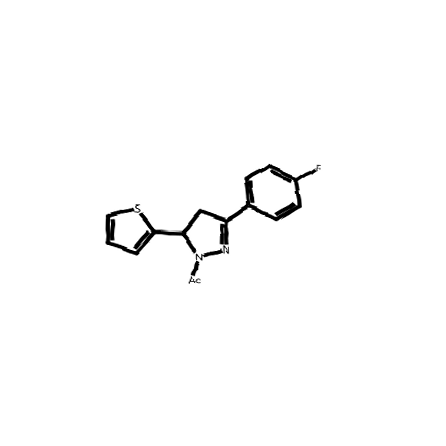 CC(=O)N1N=C(c2ccc(F)cc2)CC1c1cccs1